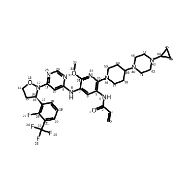 C=CC(=O)Nc1cc(Nc2cc(N3OCC[C@@H]3c3cccc(C(F)(F)F)c3F)ncn2)c(OC)nc1N1CCC(N2CCN(C3CC3)CC2)CC1